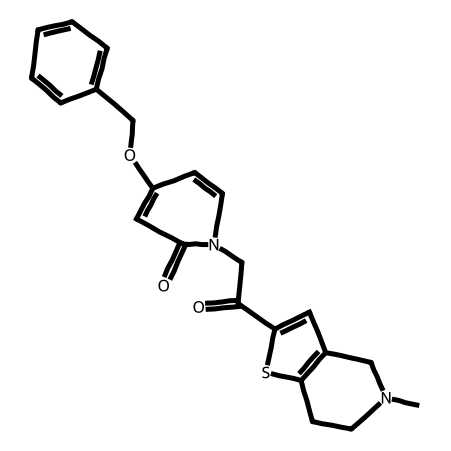 CN1CCc2sc(C(=O)Cn3ccc(OCc4ccccc4)cc3=O)cc2C1